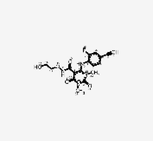 C#Cc1ccc(Nc2c(C(=O)NOCCO)c(=O)n(C)c(=O)n2C)c(F)c1